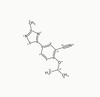 Cc1nsc(-c2ccc(OC(C)C)c(C#N)c2)n1